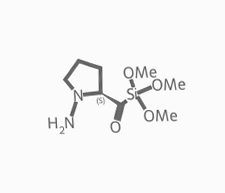 CO[Si](OC)(OC)C(=O)[C@@H]1CCCN1N